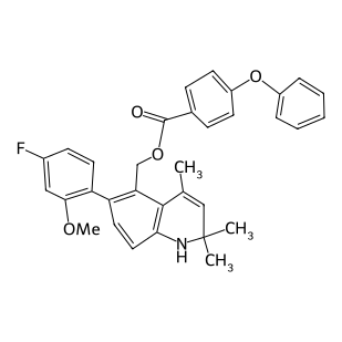 COc1cc(F)ccc1-c1ccc2c(c1COC(=O)c1ccc(Oc3ccccc3)cc1)C(C)=CC(C)(C)N2